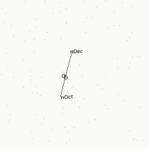 CCCCCCCC/C=C\CCCCCCCCCCCCOC(=O)CCCCCCCCCCCCCCCCCCCCCCCCCCC